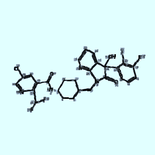 O=C(N[C@H]1CC[C@H](CN2C(=O)C(O)(c3cccc(F)c3F)c3cccnc32)CC1)c1cc(Cl)cnc1C(F)F